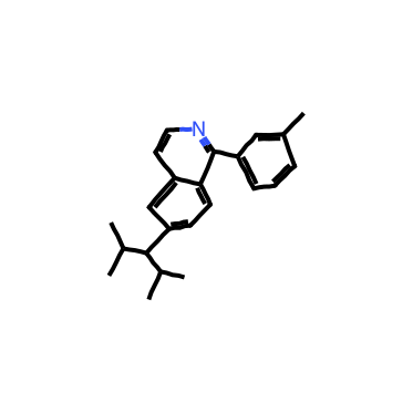 Cc1cccc(-c2nccc3cc(C(C(C)C)C(C)C)ccc23)c1